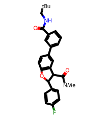 CNC(=O)C1c2cc(-c3cccc(C(=O)NCC(C)(C)C)c3)ccc2OC1c1ccc(F)cc1